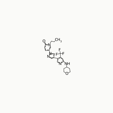 CCCn1cc(-n2cc(-c3cnc(NC4CCOCC4)cc3C(F)(F)F)cn2)ccc1=O